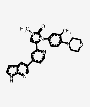 Cn1cc(-c2cc(-c3cnc4[nH]ccc4c3)ccn2)n(-c2ccc(N3CCOCC3)c(C(F)(F)F)c2)c1=O